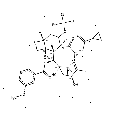 CC[Si](CC)(CC)OC1C[C@H]2OC[C@@]2(OC(C)=O)[C@H]2[C@H](OC(=O)c3cccc(OC(F)(F)F)c3)[C@]3(O)C[C@H](O)C(C)=C([C@@H](OC(=O)C4CC4)C(=O)[C@]12C)C3(C)C